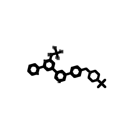 [2H]C([2H])([2H])Nc1cc(-c2cncc(-c3ccc(CN4CCN(C(C)(C)C)CC4)cc3)c2)cc(-c2ccccn2)n1